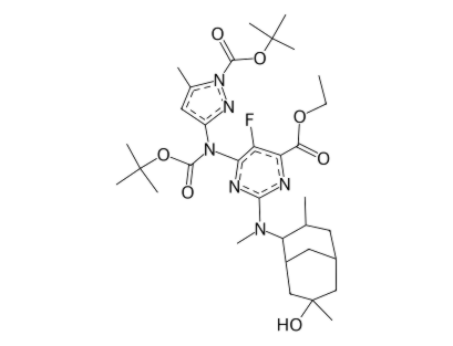 CCOC(=O)c1nc(N(C)C2C(C)CC3CC2CC(C)(O)C3)nc(N(C(=O)OC(C)(C)C)c2cc(C)n(C(=O)OC(C)(C)C)n2)c1F